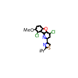 COc1ccc2oc3c(Cl)cc(-c4csc(C(C)C)n4)nc3c2c1Cl